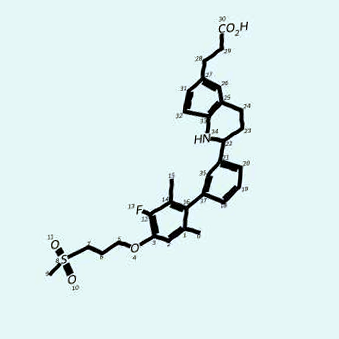 Cc1cc(OCCCS(C)(=O)=O)c(F)c(C)c1-c1cccc(C2CCc3cc(CCC(=O)O)ccc3N2)c1